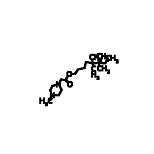 CCC(C)(C)C(C)(C)CCCCOC(=O)CN1CCN(C)CC1